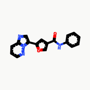 O=C(Nc1ccccc1)c1coc(-c2cnc3cccnn23)c1